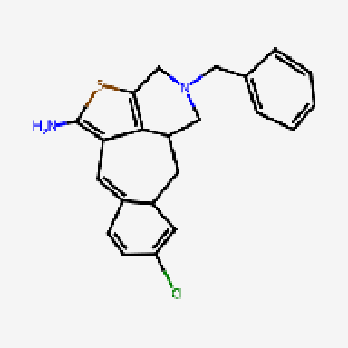 Nc1sc2c3c1C=C1C=CC(Cl)=CC1CC3CN(Cc1ccccc1)C2